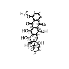 COc1cccc2c1C(=O)c1c(O)c3c(c(O)c1C2=O)CC(O)(C1(C)OCCO1)C(F)C3O